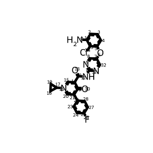 Nc1cccc(Oc2cnc(NC(=O)c3cn(C4CC4)cc(-c4ccc(F)cc4)c3=O)nc2)c1Cl